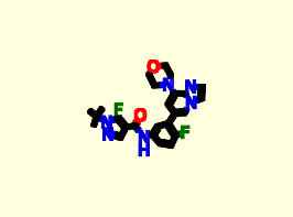 CC(C)(C)n1ncc(C(=O)Nc2ccc(F)c(-c3cc(N4CCOCC4)c4nccn4c3)c2)c1F